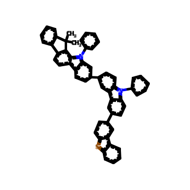 CC1(C)c2ccccc2-c2ccc3c4ccc(-c5ccc6c(c5)c5cc(-c7ccc8sc9ccccc9c8c7)ccc5n6-c5ccccc5)cc4n(-c4ccccc4)c3c21